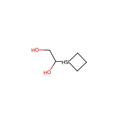 OCC(O)[SiH]1CCC1